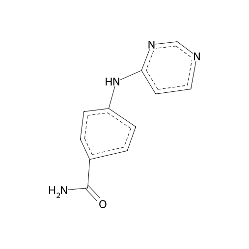 NC(=O)c1ccc(Nc2ccncn2)cc1